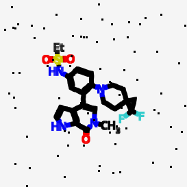 CCS(=O)(=O)Nc1ccc(N2CCC3(CC2)CC3(F)F)c(-c2cn(C)c(=O)c3[nH]ccc23)c1